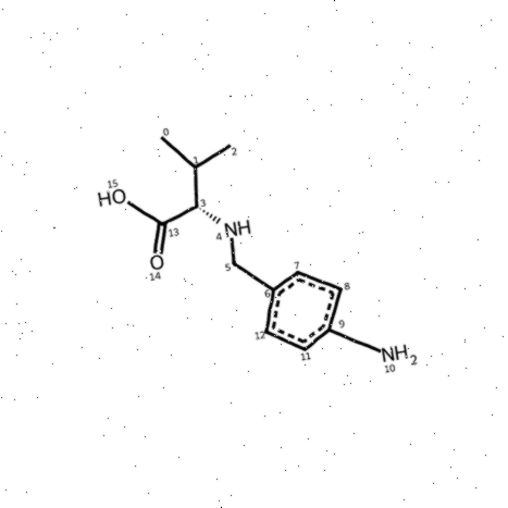 CC(C)[C@H](NCc1ccc(N)cc1)C(=O)O